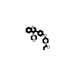 CCC(=O)N1CCC(Oc2ccc(-c3cnc4ccccc4c3N3CCOCC3)cc2)CC1